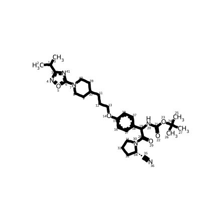 CC(C)c1noc(N2CCC(CCCOc3ccc(C(NC(=O)OC(C)(C)C)C(=O)N4CCC[C@H]4C#N)cc3)CC2)n1